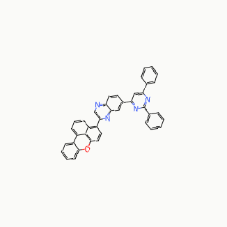 c1ccc(-c2cc(-c3ccc4ncc(-c5ccc6c7c(cccc57)-c5ccccc5O6)nc4c3)nc(-c3ccccc3)n2)cc1